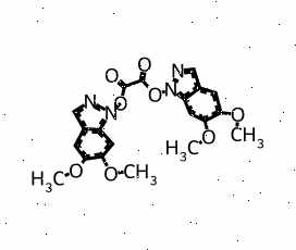 COc1cc2cnn(OC(=O)C(=O)On3ncc4cc(OC)c(OC)cc43)c2cc1OC